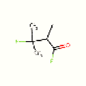 CC(C(=O)F)C(F)(C(F)(F)F)C(F)(F)F